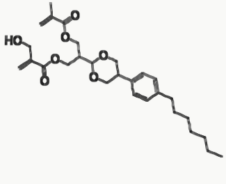 C=C(C)C(=O)OCC(COC(=O)C(=C)CO)C1OCC(c2ccc(CCCCCCC)cc2)CO1